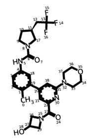 Cc1ccc(NC(=O)N2CC[C@@H](CC(F)(F)F)C2)cc1-c1cc(C(=O)N2CC(O)C2)nc(N2CCOCC2)c1